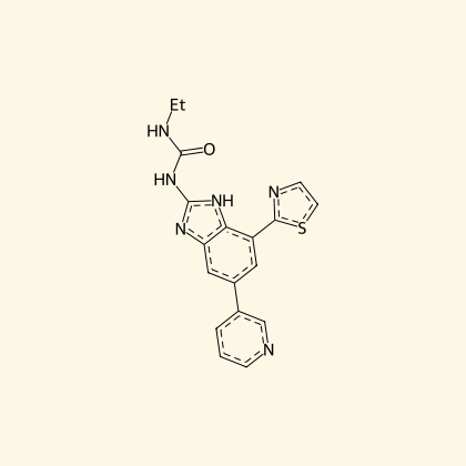 CCNC(=O)Nc1nc2cc(-c3cccnc3)cc(-c3nccs3)c2[nH]1